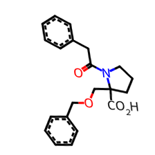 O=C(Cc1ccccc1)N1CCCC1(COCc1ccccc1)C(=O)O